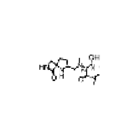 C[C@@H](O)[C@@H](C(=O)N(C)C)N(C)CC1CCC2(CNC2=O)N1